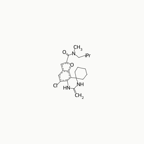 C=C1Nc2c(Cl)cc3cc(C(=O)N(C)CC(C)C)oc3c2C2(CCCCC2)N1